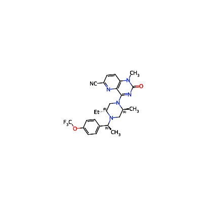 CC[C@@H]1CN(c2nc(=O)n(C)c3ccc(C#N)nc23)[C@@H](C)CN1[C@@H](C)c1ccc(OC(F)(F)F)cc1